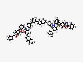 c1ccc(-c2cccc(N(c3ccc(-c4ccc5cc(-c6cccc(-c7ccc(N(c8ccc(-c9ccc%10ccccc%10c9)cc8)c8cccc9c8oc8cc%10oc(-c%11ccccc%11)nc%10cc89)cc7)c6)ccc5c4)cc3)c3cccc4c3oc3cc5oc(-c6ccccc6)nc5cc34)c2)cc1